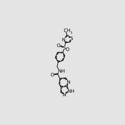 Cc1nc(S(=O)(=O)c2ccc(CNC(=O)c3cnc4[nH]ncc4c3)cc2)cs1